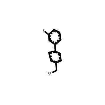 CCc1ccc(-c2[c]ccc(F)c2)cc1